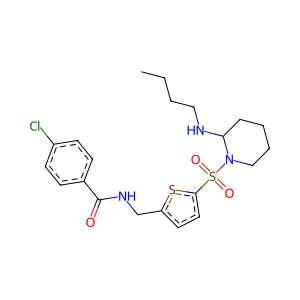 CCCCNC1CCCCN1S(=O)(=O)c1ccc(CNC(=O)c2ccc(Cl)cc2)s1